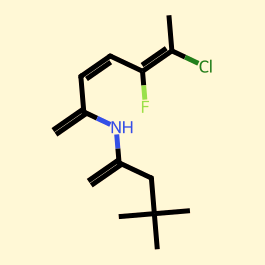 C=C(/C=C\C(F)=C(/C)Cl)NC(=C)CC(C)(C)C